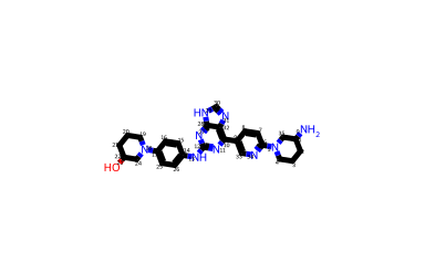 NC1CCCN(c2ccc(-c3nc(Nc4ccc(N5CCCC(O)C5)cc4)nc4[nH]cnc34)cn2)C1